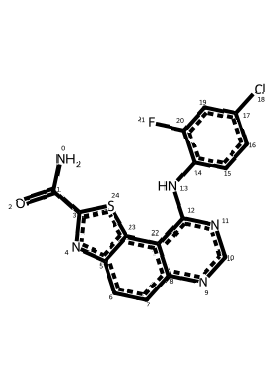 NC(=O)c1nc2ccc3ncnc(Nc4ccc(Cl)cc4F)c3c2s1